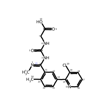 C/N=C(/NC(=O)NCC(=O)O)c1cc(-c2ncccc2Cl)ccc1C